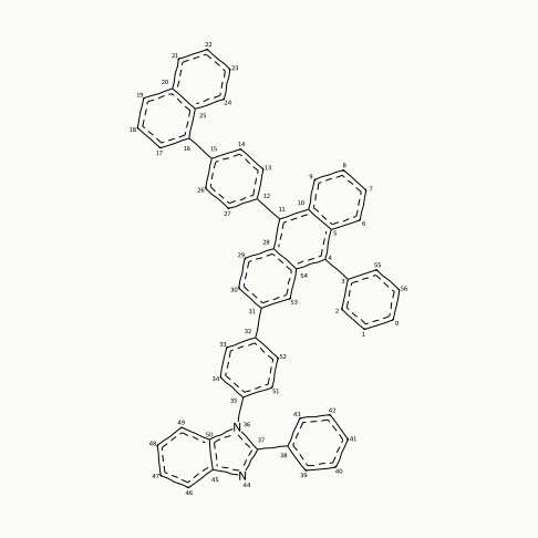 c1ccc(-c2c3ccccc3c(-c3ccc(-c4cccc5ccccc45)cc3)c3ccc(-c4ccc(-n5c(-c6ccccc6)nc6ccccc65)cc4)cc23)cc1